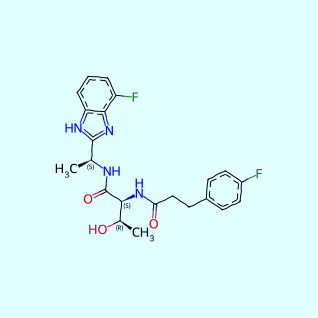 C[C@H](NC(=O)[C@@H](NC(=O)CCc1ccc(F)cc1)[C@@H](C)O)c1nc2c(F)cccc2[nH]1